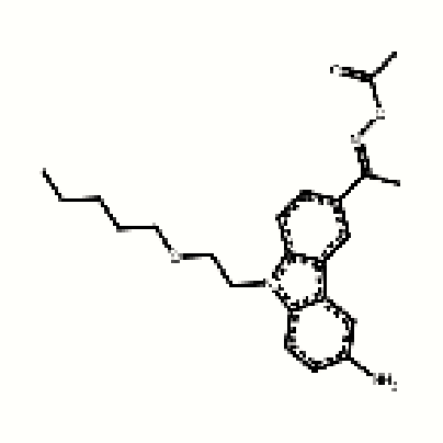 CCCCCOCCn1c2ccc(N)cc2c2cc(/C(C)=N/OC(C)=O)ccc21